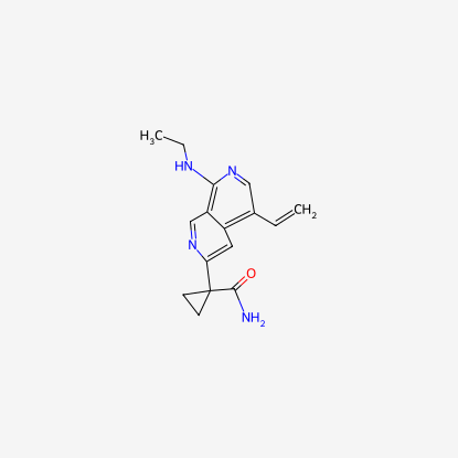 C=Cc1cnc(NCC)c2cnc(C3(C(N)=O)CC3)cc12